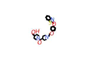 O=C(C1CCN(CCOc2ccc(Oc3nc4ccccc4s3)cc2)CC1)N1CCC(CO)CC1